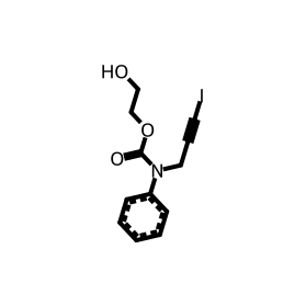 O=C(OCCO)N(CC#CI)c1ccccc1